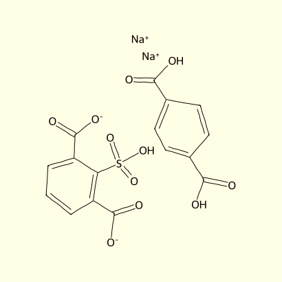 O=C(O)c1ccc(C(=O)O)cc1.O=C([O-])c1cccc(C(=O)[O-])c1S(=O)(=O)O.[Na+].[Na+]